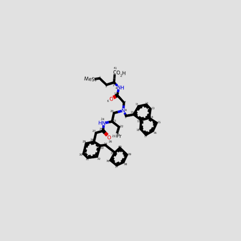 CSCCC(NC(=O)CN(Cc1cccc2ccccc12)CC(CC(C)C)NC(=O)Cc1ccccc1Cc1ccccc1)C(=O)O